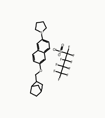 O=S(=O)([O-])C(F)(F)C(F)(F)C(F)(F)C(F)(F)F.c1cc2cc([S+]3CCCC3)ccc2cc1OCC1CC2CCC1C2